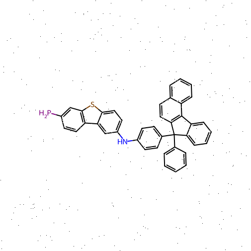 Pc1ccc2c(c1)sc1ccc(Nc3ccc(C4(c5ccccc5)c5ccccc5-c5c4ccc4ccccc54)cc3)cc12